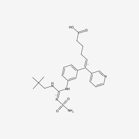 CC(C)(C)CN/C(=N/S(N)(=O)=O)Nc1cccc(/C(=C\CCCC(=O)O)c2cccnc2)c1